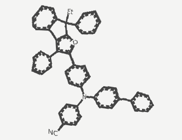 CCC1(c2ccccc2)c2ccccc2-c2c1oc(-c1ccc(N(c3ccc(C#N)cc3)c3ccc(-c4ccccc4)cc3)cc1)c2-c1ccccc1